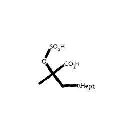 CCCCCCCCC(C)(OS(=O)(=O)O)C(=O)O